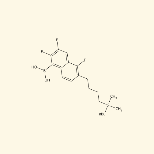 CCCC[Si](C)(C)CCCCc1ccc2c(B(O)O)c(F)c(F)cc2c1F